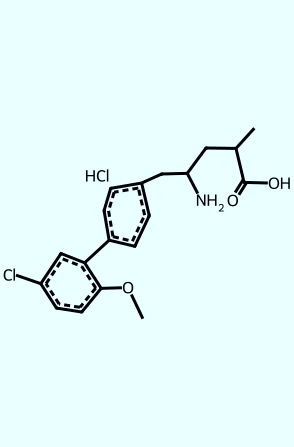 COc1ccc(Cl)cc1-c1ccc(CC(N)CC(C)C(=O)O)cc1.Cl